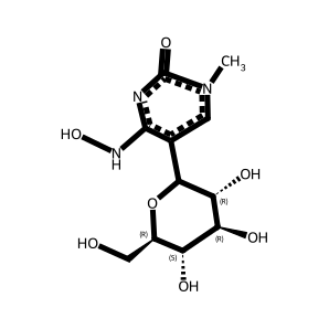 Cn1cc(C2O[C@H](CO)[C@@H](O)[C@H](O)[C@H]2O)c(NO)nc1=O